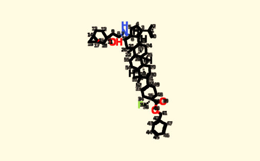 C=C(C)[C@@H]1CC[C@]2(NCC[C@]3(O)CC[C@@]4(C)CC4C3)CC[C@]3(C)[C@H](CC[C@@H]4[C@@]5(C)CC=C(C6=CC[C@](CF)(C(=O)OCc7ccccc7)CC6)C(C)(C)[C@@H]5CC[C@]43C)[C@@H]12